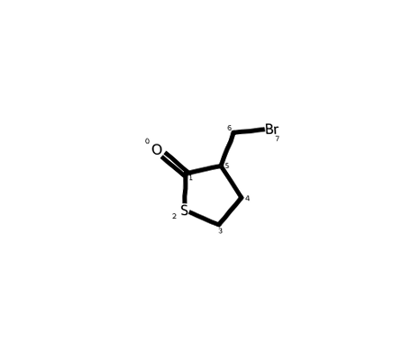 O=C1SCCC1CBr